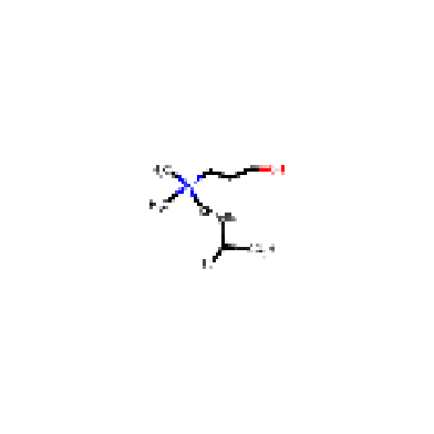 CCCCC(CC)C(=O)O.C[N+](C)(C)CCCO